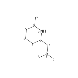 CB(C)CC1CCCC(C)N1